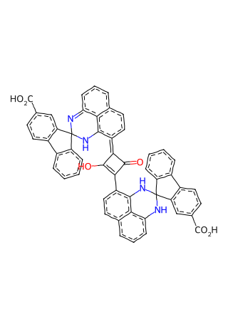 O=C1C(c2ccc3cccc4c3c2NC2(N4)c3ccccc3-c3ccc(C(=O)O)cc32)=C(O)/C1=c1/ccc2cccc3c2c1NC1(N=3)c2ccccc2-c2ccc(C(=O)O)cc21